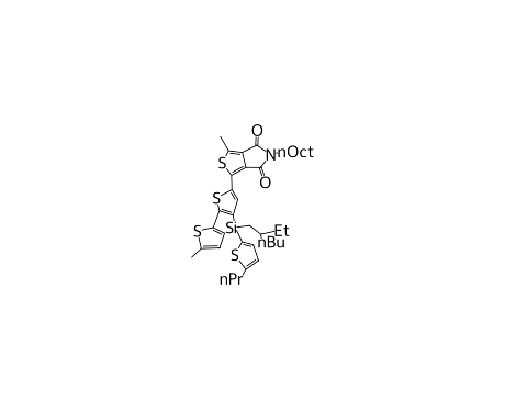 CCCCCCCCN1C(=O)c2c(C)sc(-c3cc4c(s3)-c3sc(C)cc3[Si]4(CC(CC)CCCC)c3ccc(CCC)s3)c2C1=O